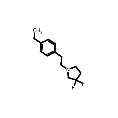 CCc1ccc(CCN2CCC(F)(F)C2)cc1